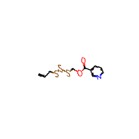 C=CCSSSCOC(=O)c1cccnc1